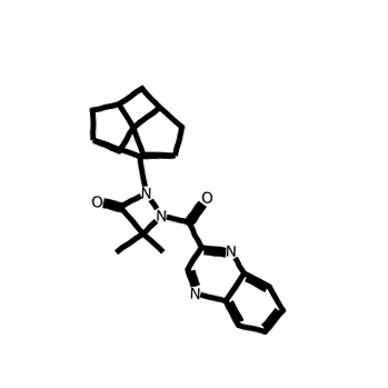 CC1(C)C(=O)N(C2C3CC4CC5CC2CC45C3)N1C(=O)c1cnc2ccccc2n1